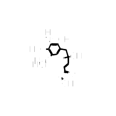 COC(=O)C=CC1(C)Cc2c(C)c(N)c(C)c(C)c2O1.Cl